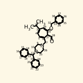 CC(C)C1=CC=C(CN2CCN(C(c3ccccc3)c3ccccc3)CC2)C(C=O)C(OCc2ccccc2)=C1